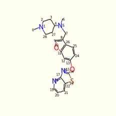 CN1CCC(N(C)Cc2coc3cc(Oc4nc5ncccc5s4)ccc23)CC1